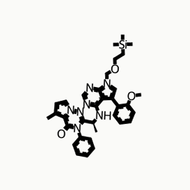 COc1ccccc1-c1cn(COCC[Si](C)(C)C)c2ncnc(N[C@@H](C)c3nn4ccc(C)c4c(=O)n3-c3ccccc3)c12